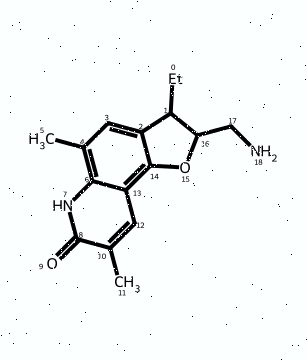 CCC1c2cc(C)c3[nH]c(=O)c(C)cc3c2OC1CN